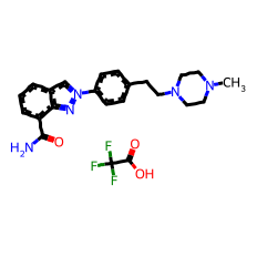 CN1CCN(CCc2ccc(-n3cc4cccc(C(N)=O)c4n3)cc2)CC1.O=C(O)C(F)(F)F